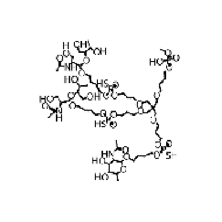 COP(=O)(O)OCCCCOCC(COCCCOP(=O)(S)OCCCCOC1OC(C)C(O)C(O)C1NC(C)=O)(COCCCOP(=O)(S)OCCCCOC(OC(CO)[C@H](C)O)[C@H](CO)NC(C)=O)COCCCOP(=O)(S)OCCCCOC(OC(CO)[C@@H](C)O)[C@H](CO)NC(C)=O